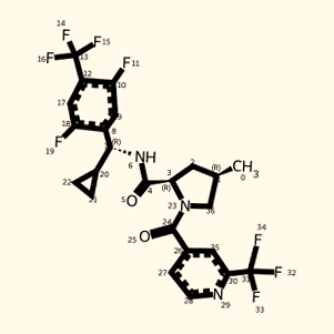 C[C@@H]1C[C@H](C(=O)N[C@@H](c2cc(F)c(C(F)(F)F)cc2F)C2CC2)N(C(=O)c2ccnc(C(F)(F)F)c2)C1